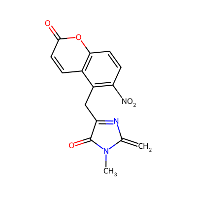 C=C1N=C(Cc2c([N+](=O)[O-])ccc3oc(=O)ccc23)C(=O)N1C